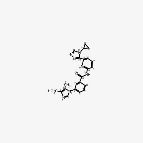 Cc1c(C(=O)O)ncn1-c1cccc(C(=O)Nc2cccc(-c3nncn3C3CC3)n2)c1